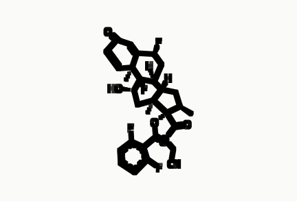 C[C@@H]1C[C@H]2[C@@H]3C[C@H](F)C4=CC(=O)C=C[C@]4(C)[C@@]3(F)[C@@H](O)C[C@]2(C)[C@]1(OC(=O)c1c(F)cccc1F)C(=O)OCC#N